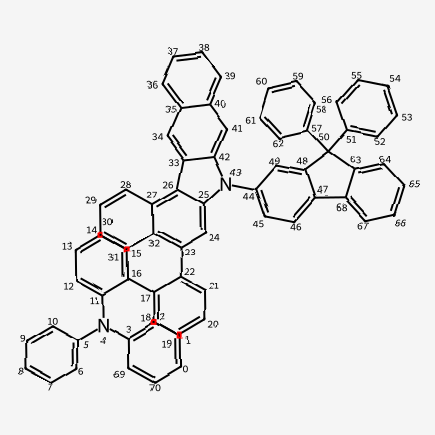 c1ccc(N(c2ccccc2)c2ccccc2-c2ccccc2-c2cc3c(c4ccccc24)c2cc4ccccc4cc2n3-c2ccc3c(c2)C(c2ccccc2)(c2ccccc2)c2ccccc2-3)cc1